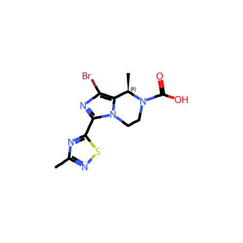 Cc1nsc(-c2nc(Br)c3n2CCN(C(=O)O)[C@@H]3C)n1